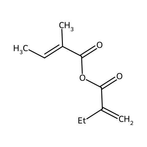 C=C(CC)C(=O)OC(=O)C(C)=CC